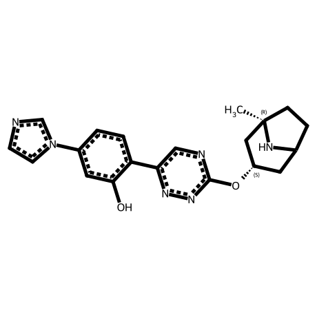 C[C@@]12CCC(C[C@H](Oc3ncc(-c4ccc(-n5ccnc5)cc4O)nn3)C1)N2